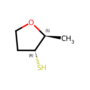 C[C@@H]1OCC[C@H]1S